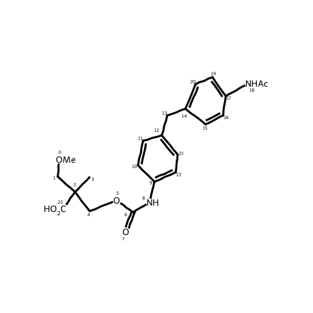 COCC(C)(COC(=O)Nc1ccc(Cc2ccc(NC(C)=O)cc2)cc1)C(=O)O